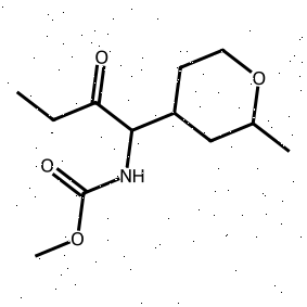 CCC(=O)C(NC(=O)OC)C1CCOC(C)C1